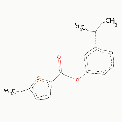 Cc1ccc(C(=O)Oc2cccc(C(C)C)c2)s1